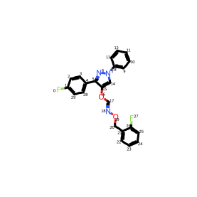 Fc1ccc(-c2nn(-c3ccccc3)cc2OC=NOCc2ccccc2F)cc1